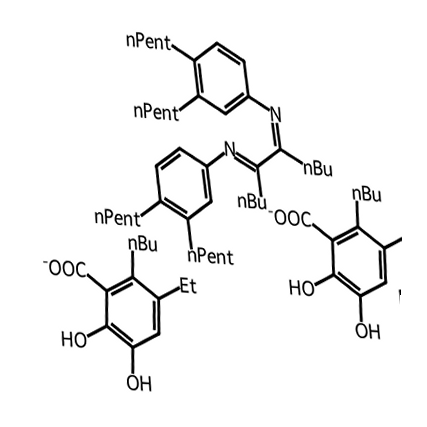 CCCCCc1ccc(N=C(CCCC)C(CCCC)=Nc2ccc(CCCCC)c(CCCCC)c2)cc1CCCCC.CCCCc1c(CC)cc(O)c(O)c1C(=O)[O-].CCCCc1c(CC)cc(O)c(O)c1C(=O)[O-].[Pd+2]